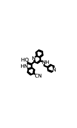 N#Cc1ccc2[nH]c(O)c(-c3cc(NCc4ccncc4)c4ccccc4n3)c2c1